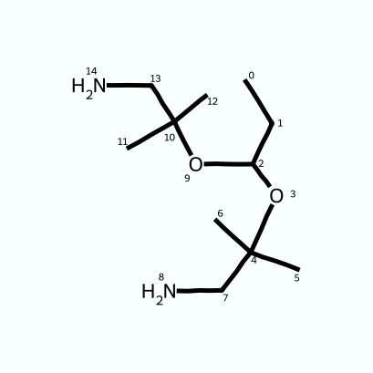 CCC(OC(C)(C)CN)OC(C)(C)CN